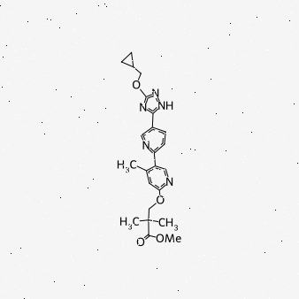 COC(=O)C(C)(C)COc1cc(C)c(-c2ccc(-c3nc(OCC4CC4)n[nH]3)cn2)cn1